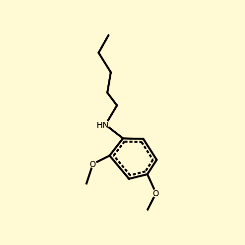 CCCCCNc1ccc(OC)cc1OC